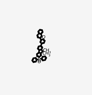 CC1(C)c2cc(-c3ccc4oc5c6ccccc6ccc5c4c3)ccc2-c2ccc(P(=O)(c3ccccc3)c3ccccc3)cc21